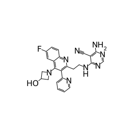 N#Cc1c(N)ncnc1NCCc1nc2ccc(F)cc2c(N2CC(O)C2)c1-c1ccccn1